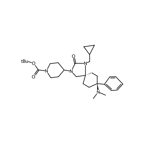 CN(C)[C@]1(c2ccccc2)CC[C@]2(CC1)CN(C1CCN(C(=O)OC(C)(C)C)CC1)C(=O)N2CC1CC1